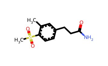 Cc1cc(CCC(N)=O)ccc1S(C)(=O)=O